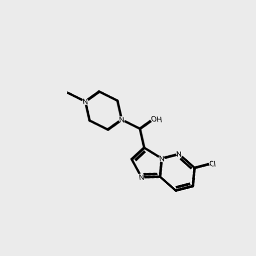 CN1CCN(C(O)c2cnc3ccc(Cl)nn23)CC1